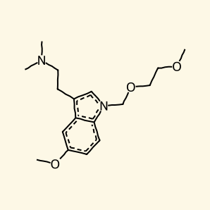 COCCOCn1cc(CCN(C)C)c2cc(OC)ccc21